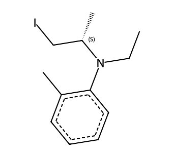 CCN(c1ccccc1C)[C@@H](C)CI